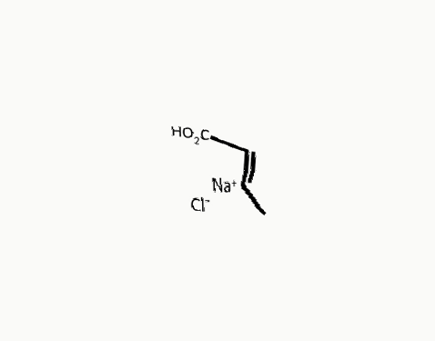 CC=CC(=O)O.[Cl-].[Na+]